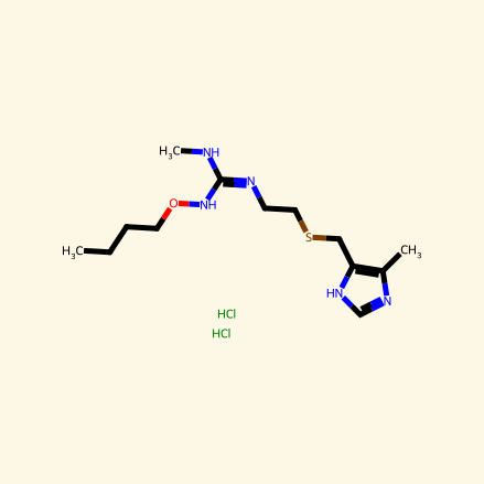 CCCCONC(=NCCSCc1[nH]cnc1C)NC.Cl.Cl